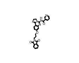 O=C(NC1=Nc2cc(OCCCN3C(=O)c4ccccc4C3=O)ccc2C2=NCCN12)c1cccnc1